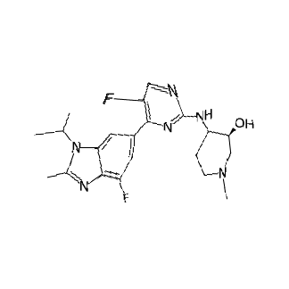 Cc1nc2c(F)cc(-c3nc(NC4CCN(C)C[C@@H]4O)ncc3F)cc2n1C(C)C